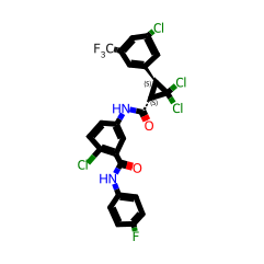 O=C(Nc1ccc(F)cc1)c1cc(NC(=O)[C@@H]2[C@@H](c3cc(Cl)cc(C(F)(F)F)c3)C2(Cl)Cl)ccc1Cl